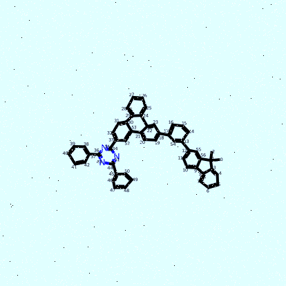 CC1(C)c2ccccc2-c2ccc(-c3cccc(-c4ccc5c(c4)c4ccccc4c4ccc(-c6nc(-c7ccccc7)nc(-c7ccccc7)n6)cc45)c3)cc21